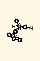 N#Cc1ccc(C2=NC(c3ccccc3)NC(c3ccc(-n4c5ccccc5c5ccc6c7ccccc7oc6c54)cc3)=N2)cc1